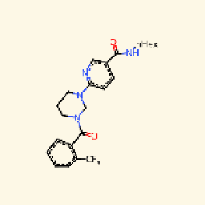 CCCCCCNC(=O)c1ccc(N2CCCN(C(=O)c3ccccc3C(F)(F)F)C2)nc1